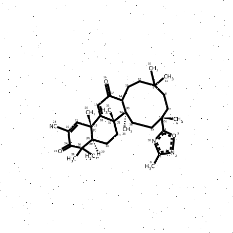 Cc1noc([C@@]2(C)CCC(C)(C)CCC3C(=O)C=C4[C@@]5(C)C=C(C#N)C(=O)C(C)(C)[C@@H]5CC[C@@]4(C)[C@]3(C)CC2)n1